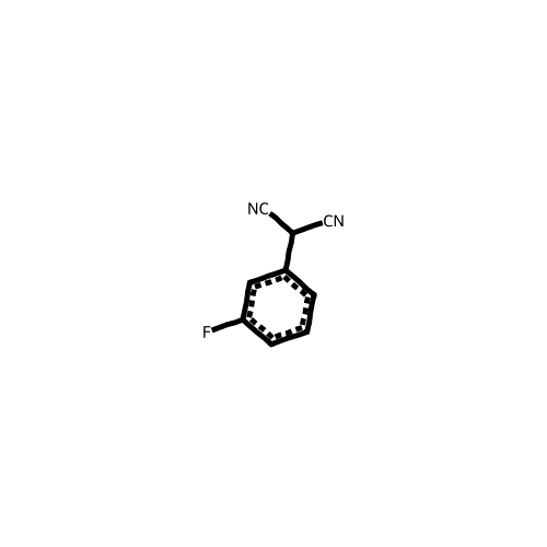 N#CC(C#N)c1cccc(F)c1